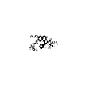 CCC(C)(C)N(C)C(=O)c1cc(-c2cccs2)c2n1CCc1cc(OC)c(OCCOS(C)(=O)=O)cc1-2